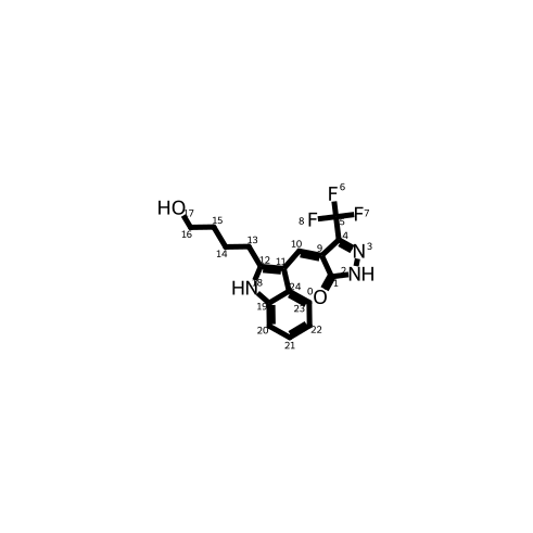 O=C1NN=C(C(F)(F)F)C1=Cc1c(CCCCO)[nH]c2ccccc12